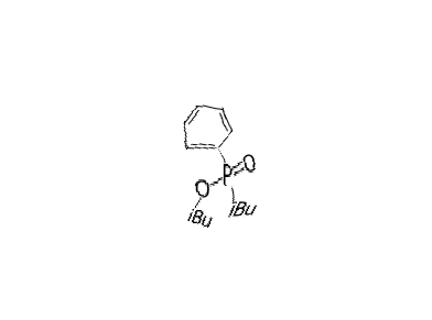 CCC(C)OP(=O)(c1ccccc1)C(C)CC